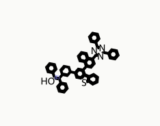 O/C(=C(/C1=CC(c2cc(-c3ccc(-c4nc(-c5ccccc5)nc(-c5ccccc5)n4)c4ccccc34)c3c(c2)sc2ccccc23)CC=C1)c1ccccc1)c1ccccc1